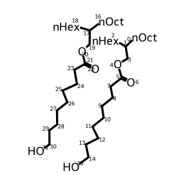 CCCCCCCCC(CCCCCC)COC(=O)CCCCCCCCO.CCCCCCCCC(CCCCCC)COC(=O)CCCCCCCCO